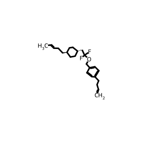 C=CCCc1ccc(COC(F)(F)C[C@H]2CC[C@H](CC/C=C/C)CC2)cc1